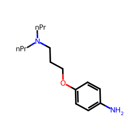 CCCN(CCC)CCCOc1ccc(N)cc1